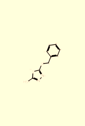 Sc1nnc(SCc2ccccc2)s1